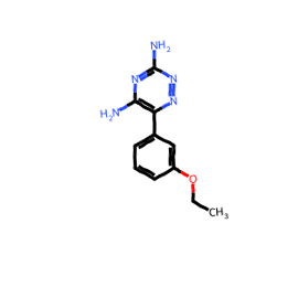 CCOc1cccc(-c2nnc(N)nc2N)c1